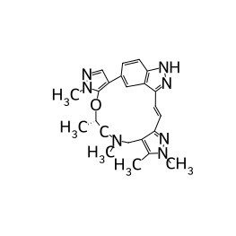 Cc1c2c(nn1C)/C=C/c1n[nH]c3ccc(cc13)-c1cnn(C)c1O[C@@H](C)CN(C)C2